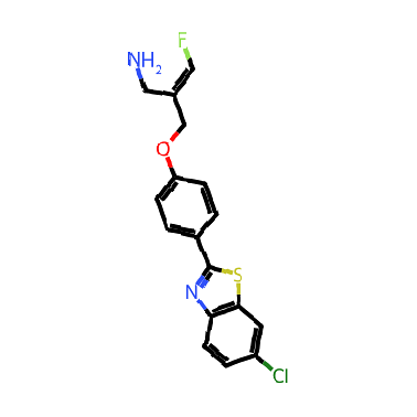 NC/C(=C\F)COc1ccc(-c2nc3ccc(Cl)cc3s2)cc1